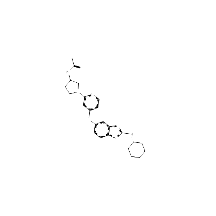 CC(=O)NC1CCN(c2cc(Oc3ccc4nc(N[C@@H]5CCCC[C@H]5O)sc4c3)ccn2)C1